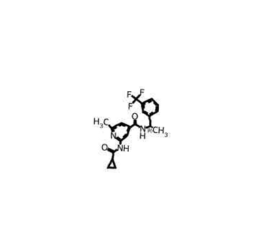 Cc1cc(C(=O)N[C@H](C)c2cccc(C(F)(F)F)c2)cc(NC(=O)C2CC2)n1